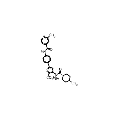 Cc1cc(C(=O)Nc2ccc(-c3cc(N(C(=O)[C@H]4CC[C@H](C)CC4)C(C)C)c(C(=O)O)s3)cc2)ccn1